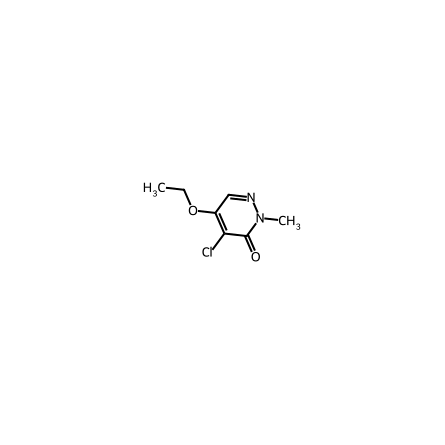 CCOc1cnn(C)c(=O)c1Cl